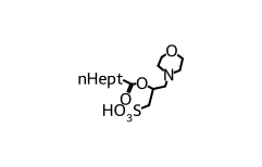 CCCCCCCC(=O)OC(CN1CCOCC1)CS(=O)(=O)O